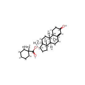 CCCCCCC1(C(=O)O[C@H]2CC[C@H]3[C@@H]4CCC5=CC(=O)CC[C@]5(C)[C@H]4CC[C@]23C)CCCCC1